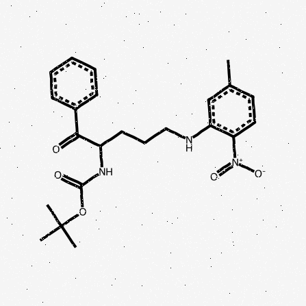 Cc1ccc([N+](=O)[O-])c(NCCCC(NC(=O)OC(C)(C)C)C(=O)c2ccccc2)c1